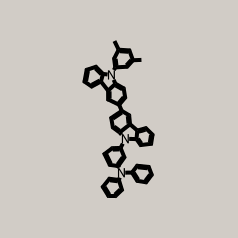 Cc1cc(C)cc(-n2c3ccccc3c3cc(-c4ccc5c(c4)c4ccccc4n5-c4cccc(N(c5ccccc5)c5ccccc5)c4)ccc32)c1